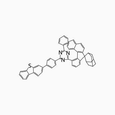 c1ccc(-c2nc(-c3ccc(-c4ccc5c(c4)sc4ccccc45)cc3)nc(-c3cccc4c3-c3c(ccc5ccccc35)C43C4CC5CC(C4)CC3C5)n2)cc1